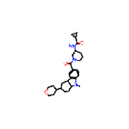 CN1c2ccc(C(=O)N3CCCC(NC(=O)C4CC4)C3)cc2C2CC(C3CCOCC3)CCC21